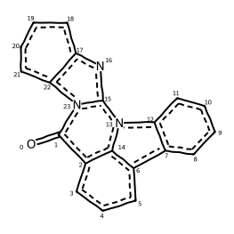 O=c1c2cccc3c4ccccc4n(c23)c2nc3ccccc3n12